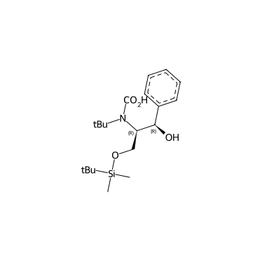 CC(C)(C)N(C(=O)O)[C@H](CO[Si](C)(C)C(C)(C)C)[C@H](O)c1ccccc1